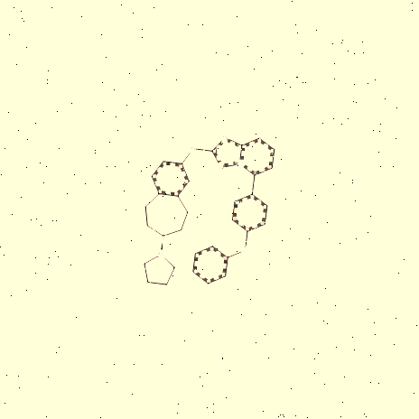 c1ccc(Oc2ccc(-c3cccc4nc(Nc5ccc6c(c5)CC[C@@H](N5CCCC5)CC6)nn34)cc2)cc1